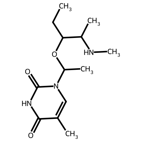 CCC(OC(C)n1cc(C)c(=O)[nH]c1=O)C(C)NC